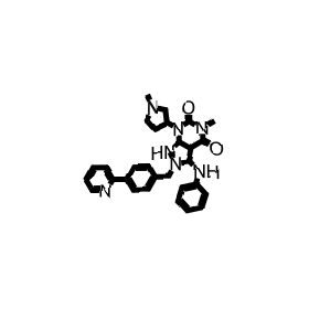 CN1CCC(N2C(=O)N(C)C(=O)C3C(Nc4ccccc4)N(Cc4ccc(-c5ccccn5)cc4)NC32)C1